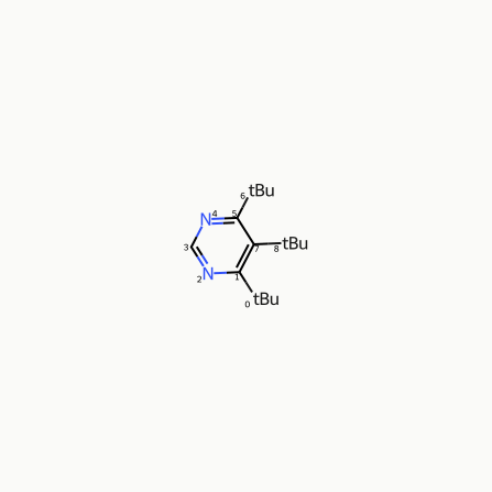 CC(C)(C)c1ncnc(C(C)(C)C)c1C(C)(C)C